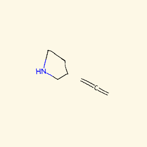 C1CCNC1.C=C=C